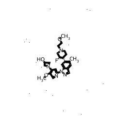 COCCN1CC[C@H](c2cc3c(cnn3-c3cc(N4CC(O)C4)c(OC)cn3)cc2C)[C@H](F)C1